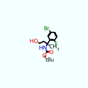 CC(C)(C)OC(=O)N[C@@](C)(CCO)c1cc(Br)ccc1F